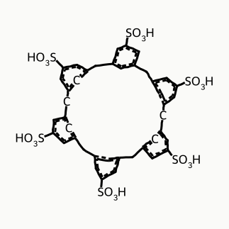 O=S(=O)(O)c1cc2cc(c1)Cc1cc(cc(S(=O)(=O)O)c1)Cc1cc(cc(S(=O)(=O)O)c1)Cc1cc(cc(S(=O)(=O)O)c1)Cc1cc(cc(S(=O)(=O)O)c1)Cc1cc(cc(S(=O)(=O)O)c1)C2